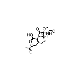 CO[C@@]1(NC=O)C(=O)N2C(C(=O)O)=C(COC(C)=O)CS[C@@H]21